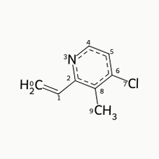 C=Cc1nccc(Cl)c1C